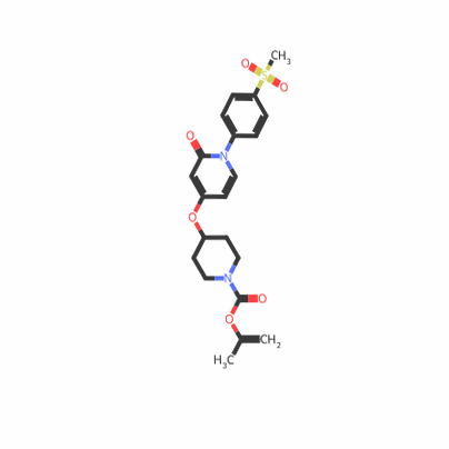 C=C(C)OC(=O)N1CCC(Oc2ccn(-c3ccc(S(C)(=O)=O)cc3)c(=O)c2)CC1